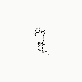 C=C(C)C1CCC(C)C(C(C)(C)C(C)CCCCCCC(C)C2CC(N)C=CCC2PC)C1